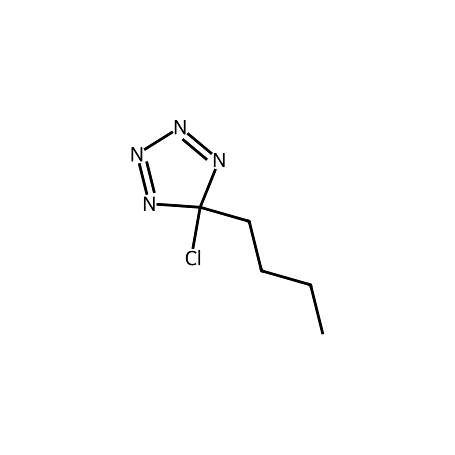 CCCCC1(Cl)N=NN=N1